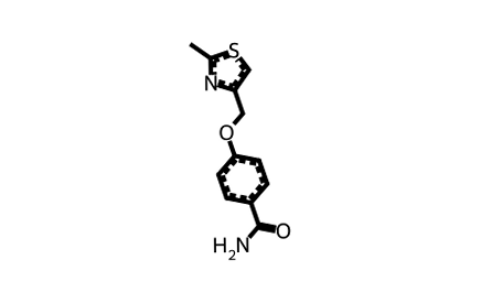 Cc1nc(COc2ccc(C(N)=O)cc2)cs1